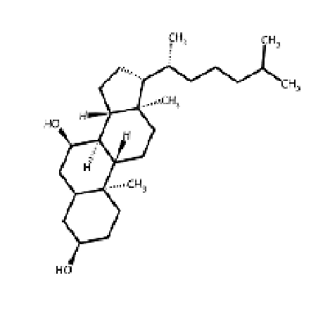 CC(C)CCC[C@@H](C)[C@H]1CC[C@H]2[C@@H]3[C@H](O)CC4C[C@H](O)CC[C@]4(C)[C@H]3CC[C@]12C